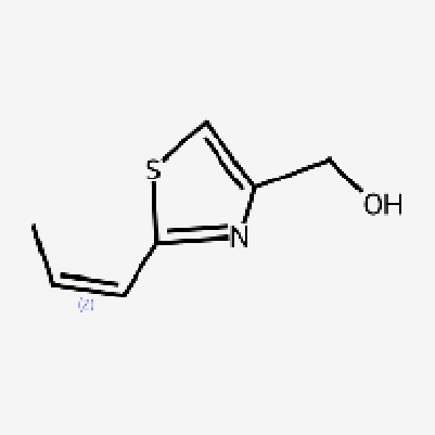 C/C=C\c1nc(CO)cs1